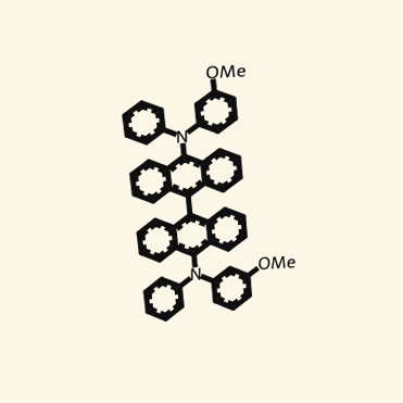 COc1cccc(N(c2ccccc2)c2c3ccccc3c(-c3c4ccccc4c(N(c4ccccc4)c4cccc(OC)c4)c4ccccc34)c3ccccc23)c1